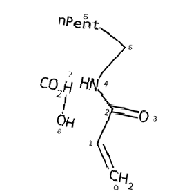 C=CC(=O)NCCCCCC.O=C(O)O